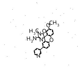 COc1ccc2c(c1)C1(N=C(N)N(C)C1=O)c1cc(-c3cccnc3)ccc1O2